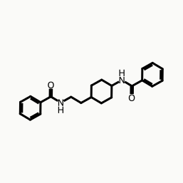 O=C(NCCC1CCC(NC(=O)c2ccccc2)CC1)c1ccccc1